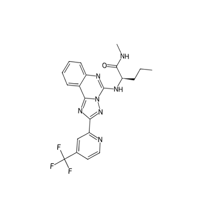 CCC[C@@H](Nc1nc2ccccc2c2nc(-c3cc(C(F)(F)F)ccn3)nn12)C(=O)NC